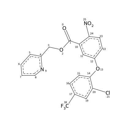 O=C(OCc1ccccn1)c1cc(Oc2ccc(C(F)(F)F)cc2Cl)ccc1[N+](=O)[O-]